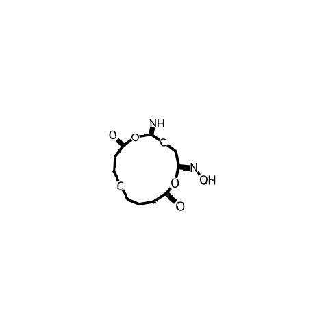 N=C1CCC(=NO)OC(=O)CCCCCCC(=O)O1